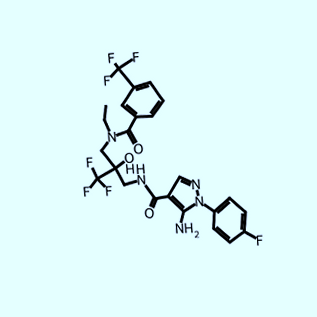 CCN(CC(O)(CNC(=O)c1cnn(-c2ccc(F)cc2)c1N)C(F)(F)F)C(=O)c1cccc(C(F)(F)F)c1